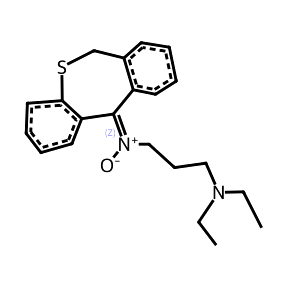 CCN(CC)CCC/[N+]([O-])=C1\c2ccccc2CSc2ccccc21